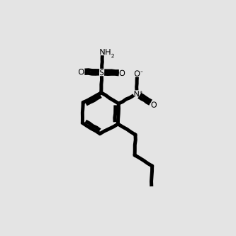 CCCCc1cccc(S(N)(=O)=O)c1[N+](=O)[O-]